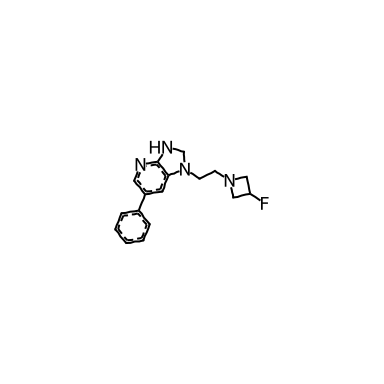 FC1CN(CCN2CNc3ncc(-c4ccccc4)cc32)C1